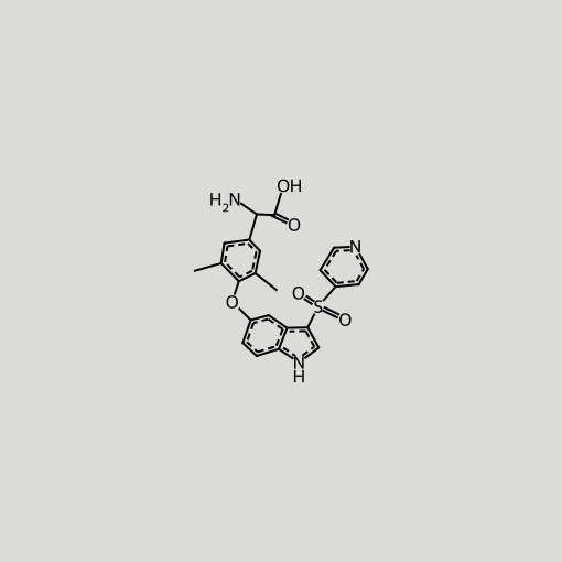 Cc1cc(C(N)C(=O)O)cc(C)c1Oc1ccc2[nH]cc(S(=O)(=O)c3ccncc3)c2c1